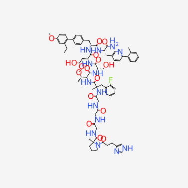 CCc1cc(OC)ccc1-c1ccc(C[C@H](NC(=O)[C@H](CC(=O)O)NC(=O)[C@H](CO)NC(=O)[C@@H](NC(=O)C(C)(Cc2ccccc2F)NC(=O)CNC(=O)CNC(=O)CNC(=O)C2(C)CCCN2C(=O)CCc2c[nH]cn2)[C@@H](C)OC)C(=O)N[C@@H](Cc2ccc(-c3ccccc3C)nc2)C(N)=O)cc1